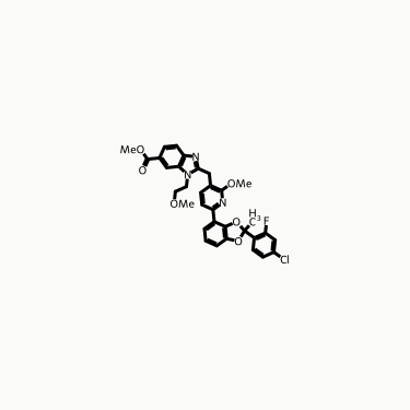 COCCn1c(Cc2ccc(-c3cccc4c3OC(C)(c3ccc(Cl)cc3F)O4)nc2OC)nc2ccc(C(=O)OC)cc21